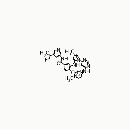 Cc1cc(Nc2cc(C(=O)Nc3cncc(C(C)CF)c3)ccc2C)n(-c2cc(NN3CCN(C)CC3)ncn2)n1